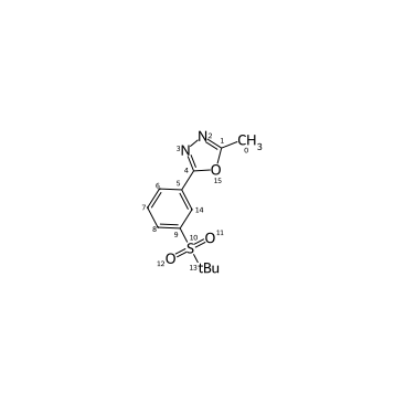 Cc1nnc(-c2cccc(S(=O)(=O)C(C)(C)C)c2)o1